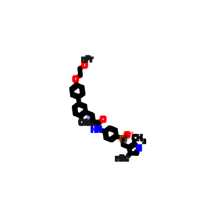 CCCCC1C=NC(C)=C1C[S@+]([O-])c1ccc(NC(=O)/C=C/c2cc(-c3ccc(OCCOCCC)cc3)ccc2OC)cc1